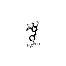 COc1c(F)cc(/C=C2\CCCN(B(C)O)C2)cc1[N+](=O)[O-]